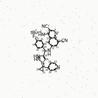 CC(C)(C)CNc1c(C#N)cnc2c(C#N)cc(N[C@H](C3=CN(C4(c5ccncc5)CC4)NN3)c3ccc(F)cc3)cc12